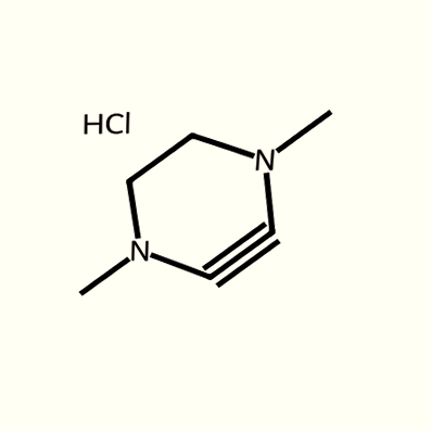 CN1C#CN(C)CC1.Cl